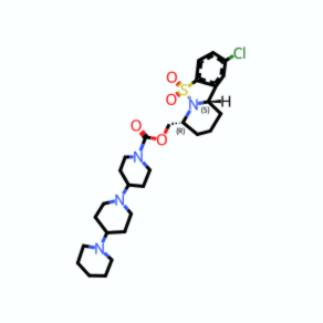 O=C(OC[C@H]1CCC[C@H]2c3cc(Cl)ccc3S(=O)(=O)N12)N1CCC(N2CCC(N3CCCCC3)CC2)CC1